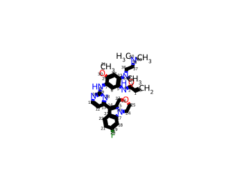 C=CC(=O)Nc1cc(Nc2nccc(-c3c4n(c5cc(F)ccc35)CCOC4)n2)c(OC)cc1N(C)CCN(C)C